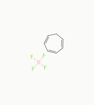 C1=CC=CCC=C1.F[B-](F)(F)F